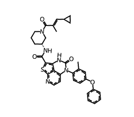 C/C(=C\C1CC1)C(=O)N1CCC[C@@H](NC(=O)c2sc3nccc4c3c2NC(=O)N4c2ccc(Oc3ccccc3)cc2C)C1